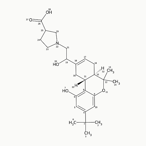 CC(C)(C)c1cc(O)c2c(c1)OC(C)(C)[C@@H]1CC=C(C(O)CN3CCC(C(=O)O)C3)C[C@@H]21